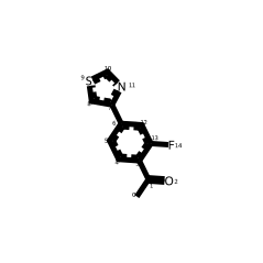 CC(=O)c1ccc(-c2cscn2)cc1F